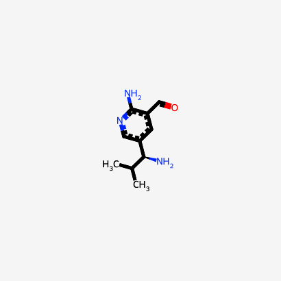 CC(C)[C@H](N)c1cnc(N)c(C=O)c1